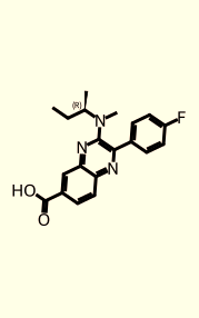 CC[C@@H](C)N(C)c1nc2cc(C(=O)O)ccc2nc1-c1ccc(F)cc1